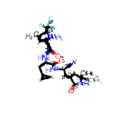 Cc1cc(C(=O)NC(CC2CC2)C(=O)NC(C#N)CC2CC(C)(C)NC2=O)[nH]c1C(F)(F)F